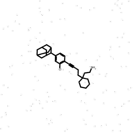 NCCC1(CCC#Cc2ccc(C3C4CC5CC(C4)CC3C5)cc2Cl)CCCCC1